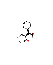 CC(C)COC(=O)/C(CC(C)(C)C)=C(\C(=O)OCC(C)C)C1CCCCC1